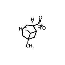 CC1C2CC1(C)CCC[C@H]2[SH](=O)=O